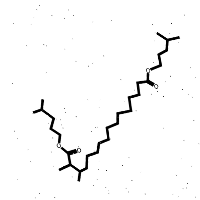 CC(C)CCCOC(=O)CCCCCCCCCCCCC(C)C(C)C(=O)OCCCC(C)C